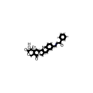 CC[C@@]1(O)C(=O)OCc2c1cc1n(c2=O)Cc2cc3cc(/C=C/C(=O)c4ccccc4)ccc3nc2-1